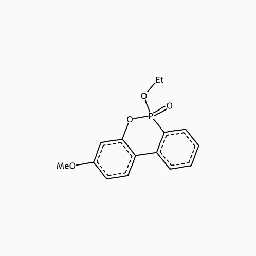 CCOP1(=O)Oc2cc(OC)ccc2-c2ccccc21